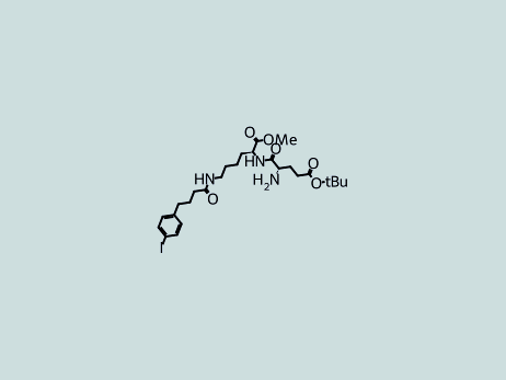 COC(=O)[C@H](CCCCNC(=O)CCCc1ccc(I)cc1)NC(=O)[C@@H](N)CCC(=O)OC(C)(C)C